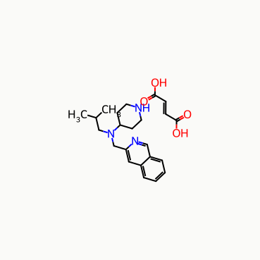 CC(C)CN(Cc1cc2ccccc2cn1)C1CCNCC1.O=C(O)/C=C/C(=O)O